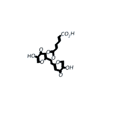 O=C(O)C=CC=CC(=O)OC(Cc1cc(=O)c(O)co1)c1cc(=O)c(O)co1